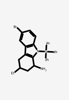 CCC1Cc2c(n([Si](C(C)C)(C(C)C)C(C)C)c3ccc(Br)cc23)C(N)C1